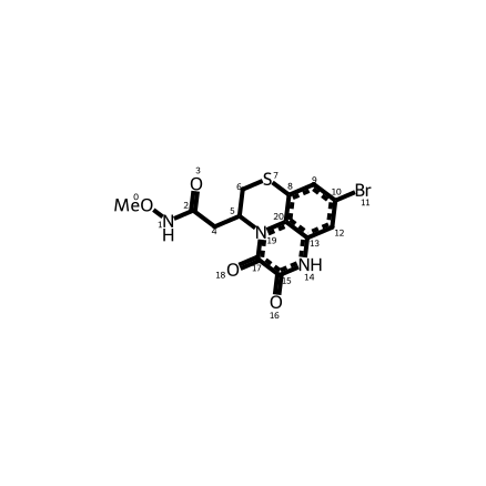 CONC(=O)CC1CSc2cc(Br)cc3[nH]c(=O)c(=O)n1c23